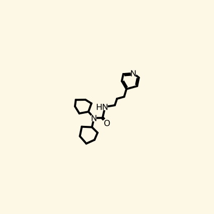 O=C(NCCCc1ccncc1)N(C1CCCCC1)C1CCCCC1